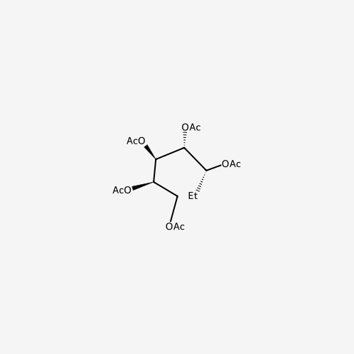 CC[C@@H](OC(C)=O)[C@@H](OC(C)=O)[C@H](OC(C)=O)[C@@H](COC(C)=O)OC(C)=O